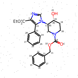 CCOC(=O)c1ncn([C@@H]2CN(C(=O)OCc3ccccc3)CC[C@H]2O)c1-c1ccccc1